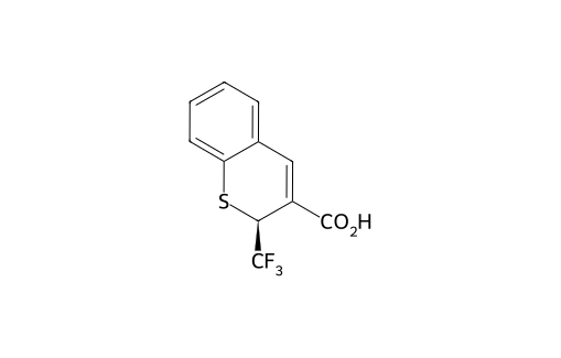 O=C(O)C1=Cc2ccccc2S[C@@H]1C(F)(F)F